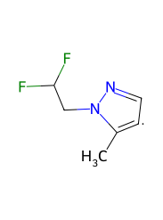 Cc1[c]cnn1CC(F)F